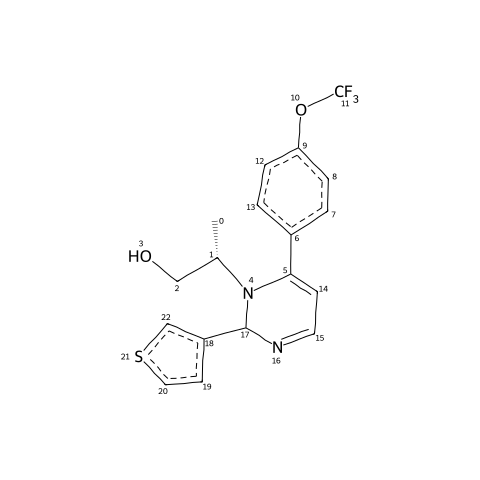 C[C@@H](CO)N1C(c2ccc(OC(F)(F)F)cc2)=CC=NC1c1ccsc1